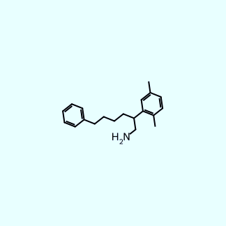 Cc1ccc(C)c(C(CN)CCCCc2ccccc2)c1